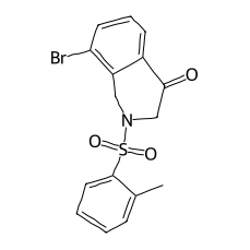 Cc1ccccc1S(=O)(=O)N1CC(=O)c2cccc(Br)c2C1